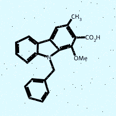 COc1c(C(=O)O)c(C)cc2c3ccccc3n(Cc3ccccc3)c12